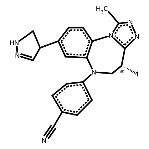 Cc1nnc2n1-c1ccc(C3C=NNC3)cc1N(c1ccc(C#N)cc1)C[C@H]2I